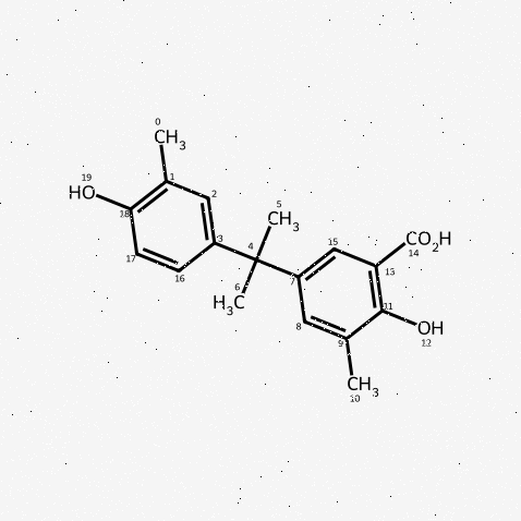 Cc1cc(C(C)(C)c2cc(C)c(O)c(C(=O)O)c2)ccc1O